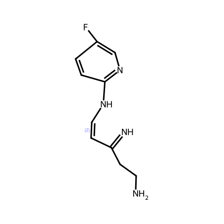 N=C(/C=C\Nc1ccc(F)cn1)CCN